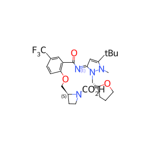 Cn1c(C(C)(C)C)c/c(=N\C(=O)c2cc(C(F)(F)F)ccc2OC[C@@H]2CCN2C(=O)O)n1C[C@H]1CCCO1